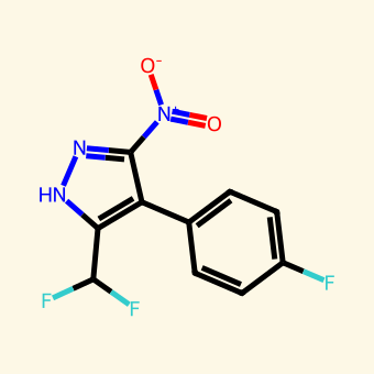 O=[N+]([O-])c1n[nH]c(C(F)F)c1-c1ccc(F)cc1